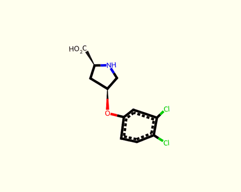 O=C(O)[C@@H]1C[C@H](Oc2ccc(Cl)c(Cl)c2)CN1